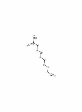 CCCCCCOCCC(=O)O